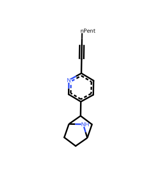 CCCCCC#Cc1ccc(C2CC3CCC2N3)cn1